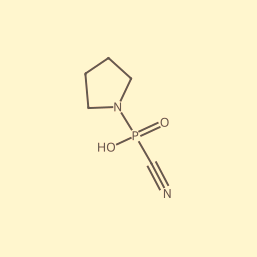 N#CP(=O)(O)N1CCCC1